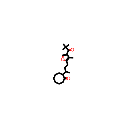 Cc1c(C(=O)C(C)(C)C)coc1CCC(C)C1CCCCCCC1=O